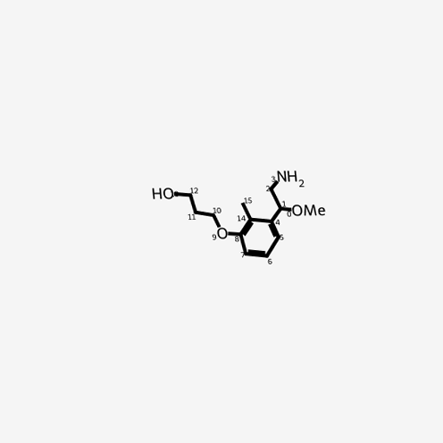 COC(CN)c1cccc(OCCCO)c1C